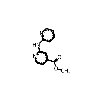 COC(=O)c1ccnc(Nc2ccccn2)c1